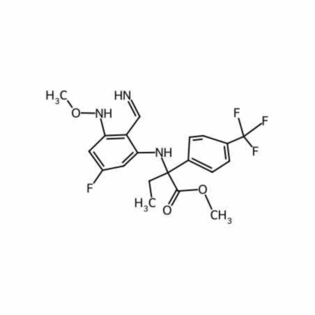 CCC(Nc1cc(F)cc(NOC)c1C=N)(C(=O)OC)c1ccc(C(F)(F)F)cc1